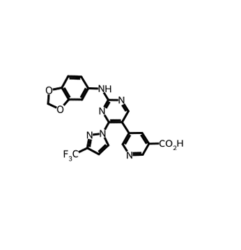 O=C(O)c1cncc(-c2cnc(Nc3ccc4c(c3)OCO4)nc2-n2ccc(C(F)(F)F)n2)c1